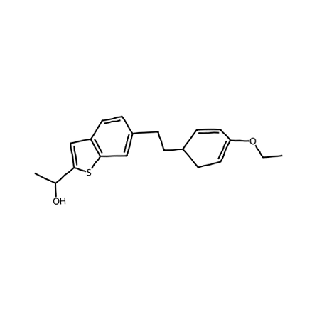 CCOC1=CCC(CCc2ccc3cc(C(C)O)sc3c2)C=C1